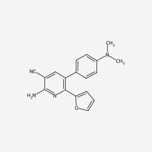 CN(C)c1ccc(-c2cc(C#N)c(N)nc2-c2ccco2)cc1